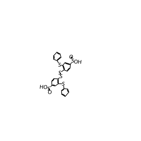 O=S(O)c1ccc(SSc2ccc(S(=O)O)cc2Sc2ccccc2)c(Sc2ccccc2)c1